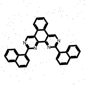 c1ccc2c(-c3ncc4c5ccccc5c5cnc(-c6cccc7ccccc67)nc5c4n3)cccc2c1